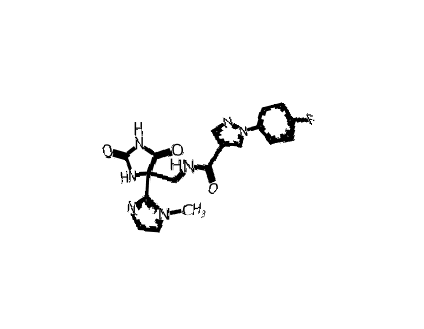 Cn1ccnc1C1(CNC(=O)c2cnn(-c3ccc(F)cc3)c2)NC(=O)NC1=O